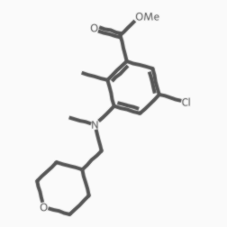 COC(=O)c1cc(Cl)cc(N(C)CC2CCOCC2)c1C